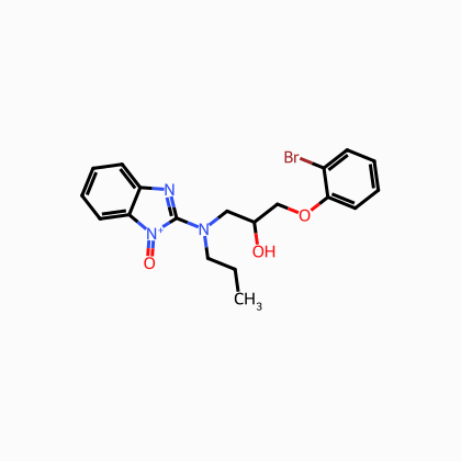 CCCN(CC(O)COc1ccccc1Br)C1=Nc2ccccc2[N+]1=O